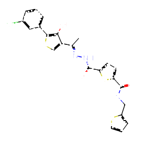 C/C(=N\NC(=O)c1ccc(C(=O)NCc2cccs2)s1)c1csc(-c2cccc(Cl)c2)c1O